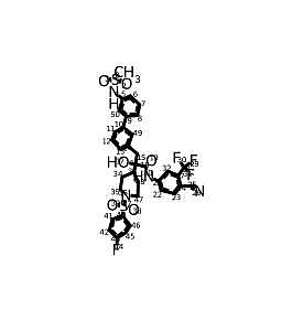 CS(=O)(=O)Nc1cccc(-c2cccc(CC(O)(C(=O)Nc3ccc(C#N)c(C(F)(F)F)c3)C3CCN(S(=O)(=O)c4ccc(F)cc4)CC3)c2)c1